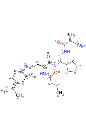 C=C(C#N)C(=O)NCC(NC(=O)[C@H](Cc1nc2ccc(C(C)C)cc2s1)NC(=O)CCC)C1CCCC1